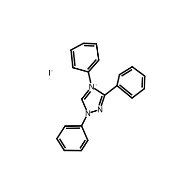 [I-].c1ccc(-c2nn(-c3ccccc3)c[n+]2-c2ccccc2)cc1